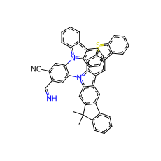 CC1(C)c2ccccc2-c2cc3c4cc5c(cc4n(-c4cc(C=N)c(C#N)cc4-n4c6ccccc6c6ccccc64)c3cc21)sc1ccccc15